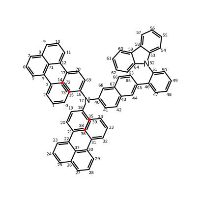 c1ccc(-c2cccc3cccc(-c4ccc(N(c5ccc(-c6cccc7cccc(-c8ccccc8)c67)cc5)c5ccc6cc(-c7ccccc7-n7c8ccccc8c8ccccc87)ccc6c5)cc4)c23)cc1